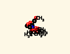 CCCOc1cc2c(c3c(=O)c(-c4ccc(OC)cc4)cn(COP(=O)(OC(C)(C)C)OC(C)(C)C)c13)OCCC2